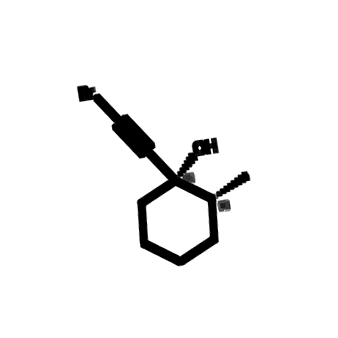 C[C@@H]1CCCC[C@@]1(O)C#CBr